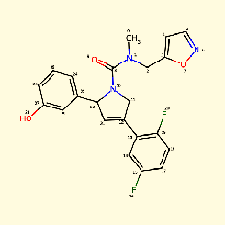 CN(Cc1ccno1)C(=O)N1CC(c2cc(F)ccc2F)=CC1c1cccc(O)c1